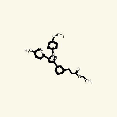 CCOC(=O)CCc1cccc(-c2cc(-c3ccc(C)cc3)n(-c3ccc(OC)cc3)n2)c1